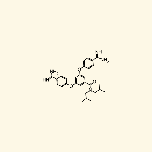 CC(C)CN(CC(C)C)C(=O)c1cc(Oc2ccc(C(=N)N)cc2)cc(Oc2ccc(C(=N)N)cc2)c1